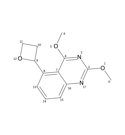 COc1nc(OC)c2c(C3CCO3)cccc2n1